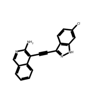 Nc1ncc2ccccc2c1C#Cc1n[nH]c2cc(Cl)ccc12